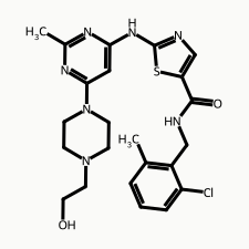 Cc1nc(Nc2ncc(C(=O)NCc3c(C)cccc3Cl)s2)cc(N2CCN(CCO)CC2)n1